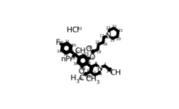 C#CCN1CCC2=C(C1)c1c(OC(=O)CCCCN3CCCCC3)cc(C(C)(CCC)c3ccc(F)cc3)cc1OC2(C)C.Cl